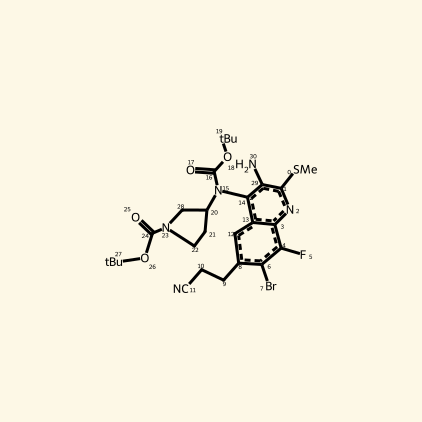 CSc1nc2c(F)c(Br)c(CCC#N)cc2c(N(C(=O)OC(C)(C)C)C2CCN(C(=O)OC(C)(C)C)C2)c1N